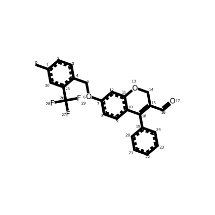 Cc1ccc(COc2ccc3c(c2)OCC(C=O)=C3c2ccccc2)c(C(F)(F)F)c1